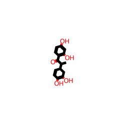 CC(C(=O)c1ccc(O)cc1O)C1C=CC(O)=C(O)C1